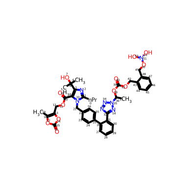 CCCc1nc(C(C)(C)O)c(C(=O)OCc2oc(=O)oc2C)n1Cc1ccc(-c2ccccc2-c2nnn(C(C)OC(=O)OCc3ccccc3CON(O)O)n2)cc1